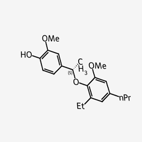 CCCc1cc(CC)c(O[C@@H](C)c2ccc(O)c(OC)c2)c(OC)c1